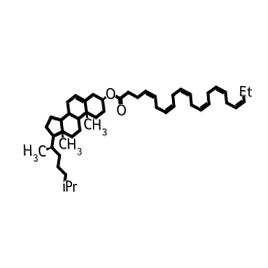 CC/C=C\C/C=C\C/C=C\C/C=C\C/C=C\C/C=C\CCC(=O)O[C@H]1CC[C@@]2(C)C(=CCC3C4CCC([C@H](C)CCCC(C)C)[C@@]4(C)CCC32)C1